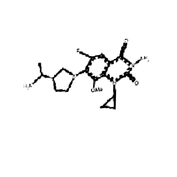 COc1c(N2CC[C@@H](C(C)N)C2)c(F)cc2c(=O)n(N)c(=O)n(C3CC3)c12